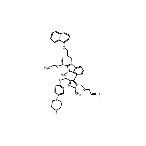 C=CCOCc1c(-c2cccc3c(CCCOc4cccc5ccccc45)c(C(=O)OCC)n(C)c23)c(COc2ccc(N3CCNCC3)cc2)nn1C